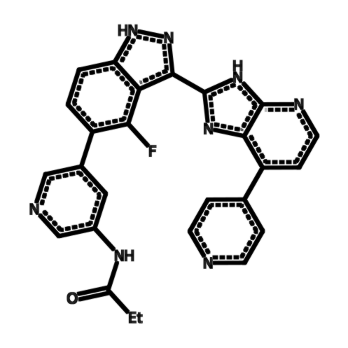 CCC(=O)Nc1cncc(-c2ccc3[nH]nc(-c4nc5c(-c6ccncc6)ccnc5[nH]4)c3c2F)c1